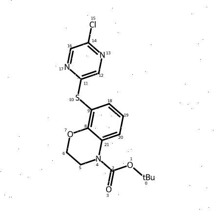 CC(C)(C)OC(=O)N1CCOc2c(Sc3cnc(Cl)cn3)cccc21